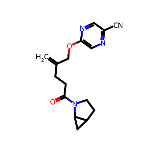 C=C(CCC(=O)N1CCC2CC21)COc1cnc(C#N)cn1